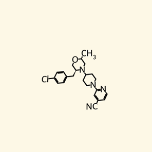 C[C@H]1CN(C2CCN(c3cc(C#N)ccn3)CC2)[C@@H](Cc2ccc(Cl)cc2)CO1